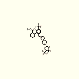 O=C(O)C1CCCCC1c1cc(C(F)(F)F)ccc1CN1CCC2(CCN(C(=O)OC(C(F)(F)F)C(F)(F)F)CC2)C1